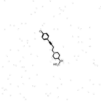 O=C(O)NC1CCN(CCC#Cc2ccc(Cl)cc2)CC1